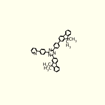 CC1(C)c2ccccc2-c2ccc(-c3ccc(-c4nc(-c5ccc(-c6ccccn6)cc5)nc(-c5ccc6c(c5)C(C)(C)c5ccccc5-6)n4)cc3)cc21